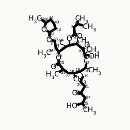 CC(C)CC(=O)O[C@H]1C(C)C(=O)[C@@](C)(O)C[C@H](C)[C@H](CCCC(=O)CC(C)O)[C@@H](C)CC(C)C(=O)OC([C@H](C)COC2CCCC(C)O2)[C@@H]1C